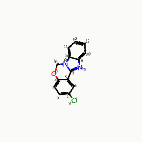 Clc1ccc2c(c1)-c1nc3ccccc3n1CO2